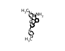 CCN1CCN(Cc2ccc(-c3cccc(C(N)=O)c3C(=O)N3CCN(CC)CC3)nc2)CC1